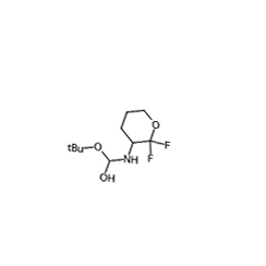 CC(C)(C)OC(O)NC1CCCOC1(F)F